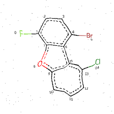 Fc1ccc(Br)c2c1oc1cccc(Cl)c12